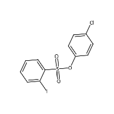 O=S(=O)(Oc1ccc(Cl)cc1)c1ccccc1I